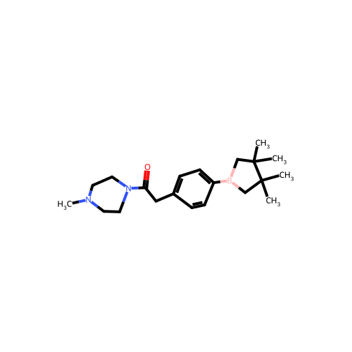 CN1CCN(C(=O)Cc2ccc(B3CC(C)(C)C(C)(C)C3)cc2)CC1